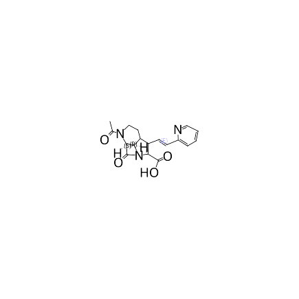 CC(=O)N1CCC2C(/C=C/c3ccccn3)=C(C(=O)O)N3C(=O)[C@@H]1[C@@H]23